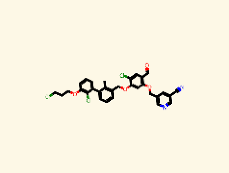 Cc1c(COc2cc(OCc3cncc(C#N)c3)c(C=O)cc2Cl)cccc1-c1cccc(OCCCCl)c1Cl